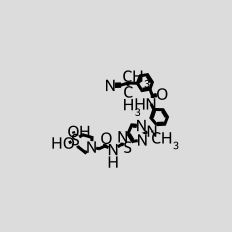 CN(c1cccc(NC(=O)c2cccc(C(C)(C)C#N)c2)c1)c1ncc2nc(NC(=O)CN3CCS(O)(O)CC3)sc2n1